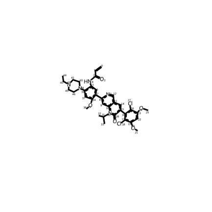 C=CC(=O)Nc1cc(-c2cc3c(cn2)cc(-c2c(Cl)c(OC)cc(OC)c2Cl)c(=O)n3C(C)C)c(OC)cc1N1CCN(CC)CC1